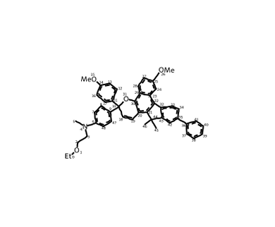 CCOCCN(C)c1ccc(C2(c3ccc(OC)cc3)C=Cc3c4c(c5cc(OC)ccc5c3O2)-c2ccc(-c3ccccc3)cc2C4(C)C)cc1